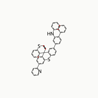 c1ccc(Nc2cc(-c3ccc4c(c3)C3(c5ccccc5Sc5ccccc53)c3ccc(-c5ccccn5)cc3S4)ccc2-c2ccccc2)cc1